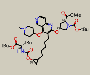 COC(=O)[C@@H]1C[C@@H](Oc2nc3ccncc3c(OC3CCN(C)CC3)c2CCCCCC2C[C@H]2OC(=O)N[C@H](C(=O)OC(C)(C)C)C(C)(C)C)CN1C(=O)OC(C)(C)C